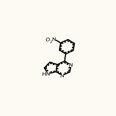 O=[N+]([O-])c1cccc(-c2ncnc3[nH]ccc23)c1